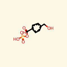 O=C(OP(=O)(O)O)c1ccc(CO)cc1